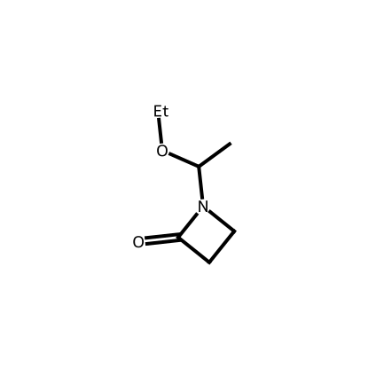 CCOC(C)N1CCC1=O